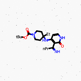 CCCC(=N)c1c(NC2(CC)CCN(C(=O)OC(C)(C)C)CC2)cc[nH]c1=O